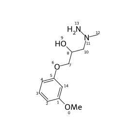 COc1cccc(OCC(O)CN(C)N)c1